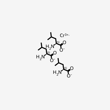 CC(C)C[C@H](N)C(=O)[O-].CC(C)C[C@H](N)C(=O)[O-].CC(C)C[C@H](N)C(=O)[O-].[Cr+3]